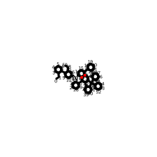 CCc1ccccc1-c1ccc(N(c2ccc(-c3ccccc3)cc2)c2ccccc2-c2cccc3c2-c2ccccc2C3(c2ccccc2)c2ccccc2)cc1CC